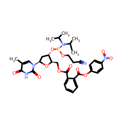 Cc1cn([C@H]2C[C@H](OP(OCCC#N)N(C(C)C)C(C)C)[C@@H](COC(=O)c3ccccc3C(=O)Oc3ccc([N+](=O)[O-])cc3)O2)c(=O)[nH]c1=O